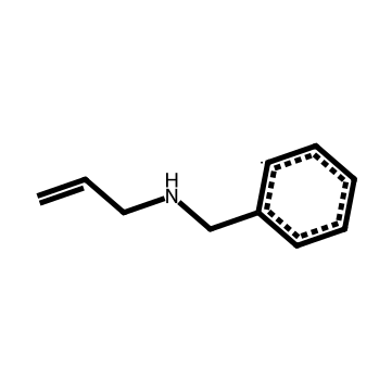 C=CCNCc1[c]cccc1